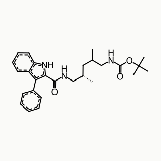 CC(CNC(=O)OC(C)(C)C)C[C@H](C)CNC(=O)c1[nH]c2ccccc2c1-c1ccccc1